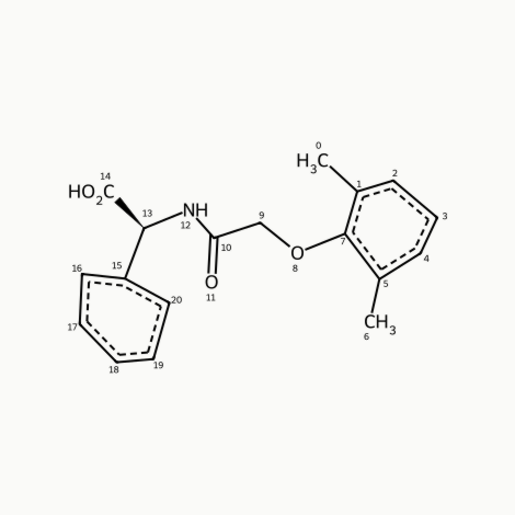 Cc1cccc(C)c1OCC(=O)N[C@H](C(=O)O)c1ccccc1